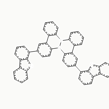 c1ccc2c(c1)B1c3ccccc3-c3cc(-c4cccc5c4oc4ccccc45)ccc3N1c1ccc(-c3cccc4c3oc3ccccc34)cc1-2